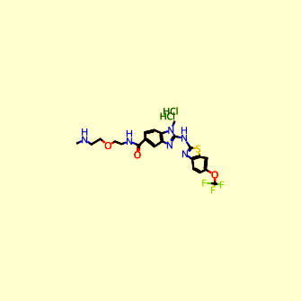 CNCCOCCNC(=O)c1ccc2c(c1)nc(Nc1nc3ccc(OC(F)(F)F)cc3s1)n2C.Cl.Cl